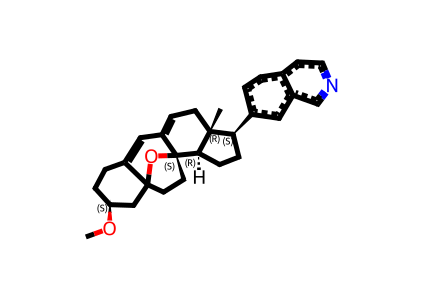 CO[C@H]1CCC2=CC3=CC[C@]4(C)[C@@H](c5ccc6ccncc6c5)CC[C@H]4[C@@]34CCC2(C1)O4